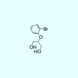 OCC(CO)Oc1ccccc1Br